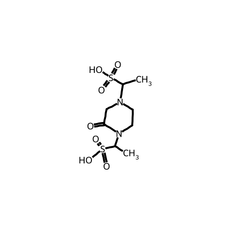 CC(N1CCN(C(C)S(=O)(=O)O)C(=O)C1)S(=O)(=O)O